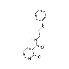 O=C(NCCSc1cc[c]cc1)c1cccnc1Cl